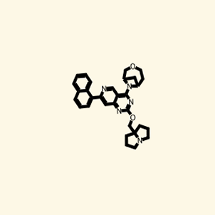 c1ccc2c(-c3cc4nc(OCC56CCCN5CCC6)nc(N5C6CCOCC5C6)c4cn3)cccc2c1